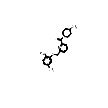 Cc1ccc(C)c(SCc2cccc(C(=O)N3CCC(C)CC3)n2)c1